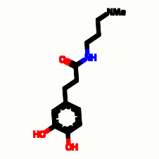 CNCCCNC(=O)CCc1ccc(O)c(O)c1